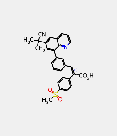 CC(C)(C#N)c1cc(-c2cccc(/C=C(/C(=O)O)c3ccc(S(C)(=O)=O)cc3)c2)c2ncccc2c1